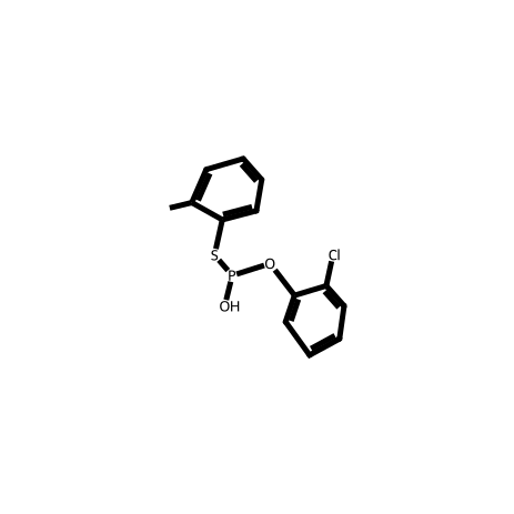 Cc1ccccc1SP(O)Oc1ccccc1Cl